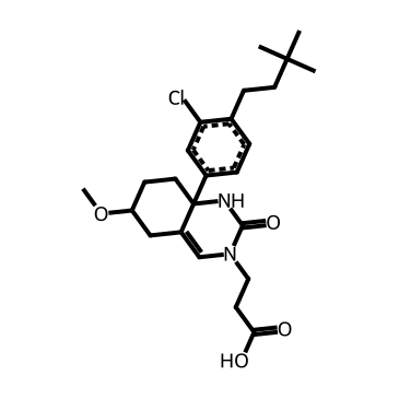 COC1CCC2(c3ccc(CCC(C)(C)C)c(Cl)c3)NC(=O)N(CCC(=O)O)C=C2C1